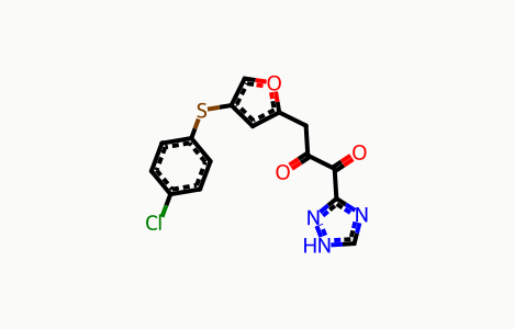 O=C(Cc1cc(Sc2ccc(Cl)cc2)co1)C(=O)c1nc[nH]n1